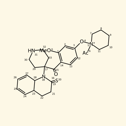 COc1cc(O[N+]2(C(C)=O)CCCCC2)ccc1C(=O)C1(N2C(=S)CCC3C=CC=CC32)CCNCC1